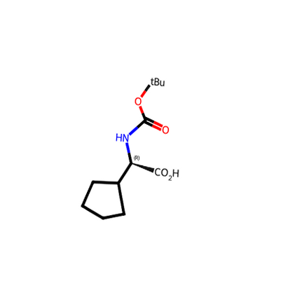 CC(C)(C)OC(=O)N[C@@H](C(=O)O)C1CCCC1